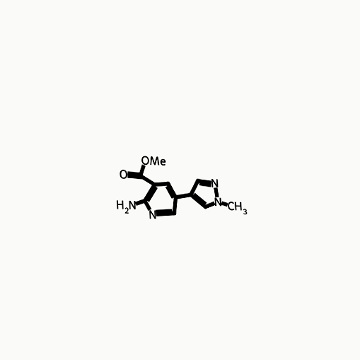 COC(=O)c1cc(-c2cnn(C)c2)cnc1N